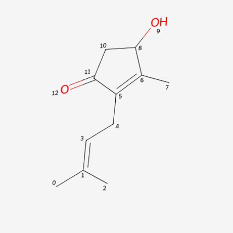 CC(C)=CCC1=C(C)C(O)CC1=O